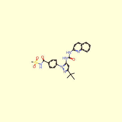 CC(C)(C)c1cc(NC(=O)Nc2ccc3ccccc3n2)n(-c2ccc(C(=O)NS(C)(=O)=O)cc2)n1